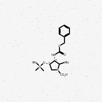 CC(C)(C)C1[C@@H](NC(=O)OCc2ccccc2)[C@@H](O[Si](C)(C)C(C)(C)C)CN1C(=O)O